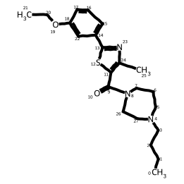 CCCCN1CCCN(C(=O)c2sc(-c3cccc(OCC)c3)nc2C)CC1